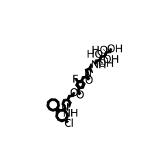 O=C(OCCC1CCN(C2NCC(Cl)CCCC3C2C32CCCCCCCC2)CC1)c1ccc(CC(=O)N2CC(CNC[C@H](O)[C@@H](O)[C@H](O)[C@H](O)CO)C2)c(F)c1